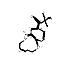 CC(C)(C)C(=O)c1ccc2c(c1)OCCCCO2